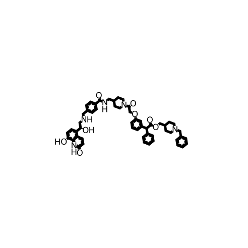 O=C(NCC1CCN(C(=O)COc2cccc(C(C(=O)OCC3CCN(Cc4ccccc4)CC3)c3ccccc3)c2)CC1)c1ccc(CNC[C@H](O)c2ccc(O)c3[nH]c(=O)ccc23)cc1